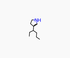 CCCC(CC)C1=CNCC1